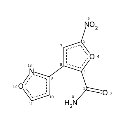 NC(=O)c1oc([N+](=O)[O-])cc1-c1ccon1